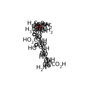 CCCC[C@@H](C(=O)N[C@@H](CN)C(=O)NCCSCC(=O)N[C@@H](Cc1ccc(O)cc1)C(=O)N1CCCC[C@H]1C(=O)NCC(=O)N1CCC[C@H]1C(=O)NCC(=O)N[C@@H](CCC(=O)O)C(=O)N1CCC[C@H]1C(N)=O)N(C)C(=O)CN(C)C(=O)[C@H](Cc1cn(CC(=O)O)c2ccccc12)NC(=O)[C@H](CCN)NC(C)=O